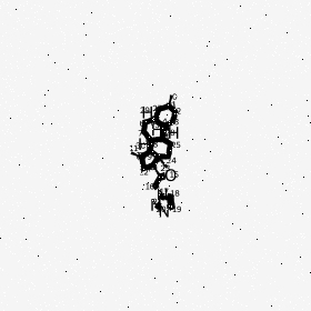 C[C@H]1CC[C@H]2[C@H](CC[C@H]3C4[C@H](C)C[C@H](C(=O)Cn5ccnn5)[C@@]4(C)CC[C@H]23)C1